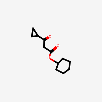 O=C(CC(=O)C1CC1)OC1CCCCC1